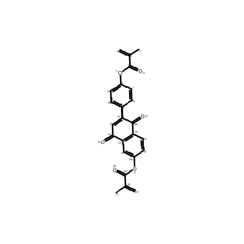 C=C(C)C(=O)Oc1ccc(C2=CC(=O)c3cc(OC(=O)C(=C)C)ccc3C2=O)cc1